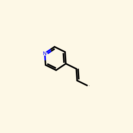 [CH2]/C=C/c1ccncc1